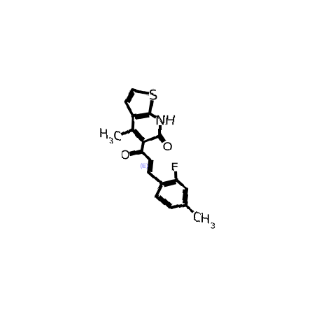 Cc1ccc(/C=C/C(=O)c2c(C)c3ccsc3[nH]c2=O)c(F)c1